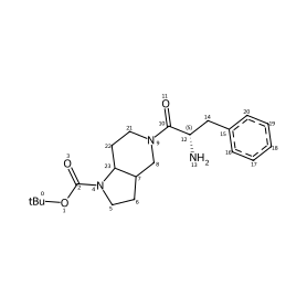 CC(C)(C)OC(=O)N1CCC2CN(C(=O)[C@@H](N)Cc3ccccc3)CCC21